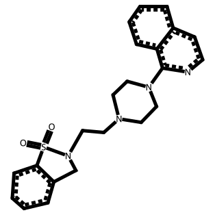 O=S1(=O)c2ccccc2CN1CCN1CCN(c2nccc3ccccc23)CC1